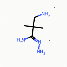 CC(C)(CN)/C(N)=N/N